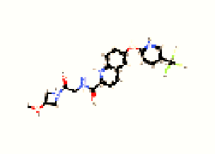 COC1CN(C(=O)CNC(=O)c2ccc3cc(Oc4ccc(C(F)(F)F)cn4)ccc3n2)C1